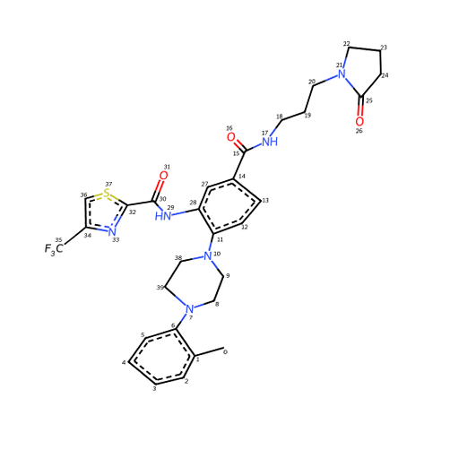 Cc1ccccc1N1CCN(c2ccc(C(=O)NCCCN3CCCC3=O)cc2NC(=O)c2nc(C(F)(F)F)cs2)CC1